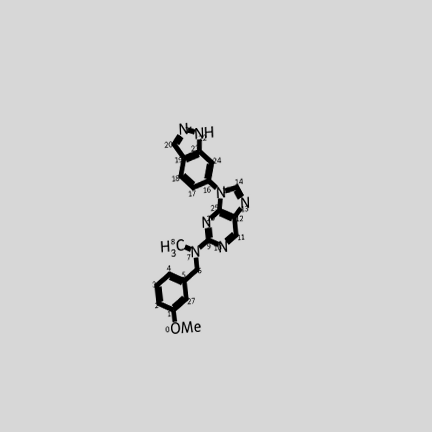 COc1cccc(CN(C)c2ncc3ncn(-c4ccc5cn[nH]c5c4)c3n2)c1